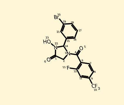 O=C1CN(C(=O)c2ccc(C(F)(F)F)cc2F)C(c2cccc(Br)c2)N1O